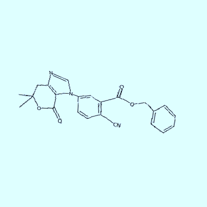 CC1(C)Cc2ncn(-c3ccc(C#N)c(C(=O)OCc4ccccc4)c3)c2C(=O)O1